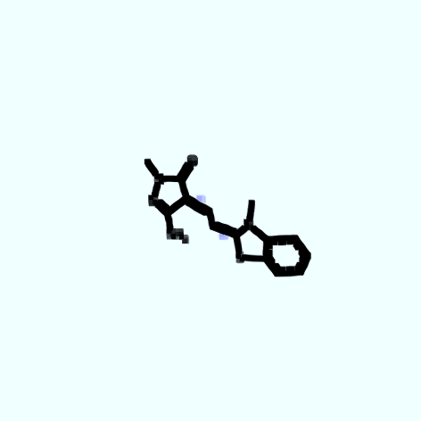 CN1N=C(N)/C(=C\C=C2\Sc3ccccc3N2C)C1=O